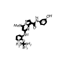 BC(B)(B)Oc1ncccc1Nc1cc(NC)n2ncc(C(=O)N[C@@H]3CCC[C@@H](O)C3)c2n1